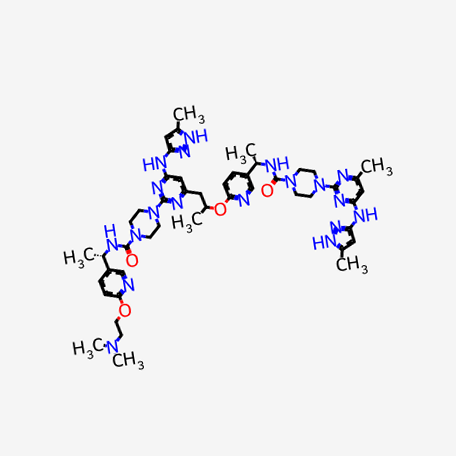 Cc1cc(Nc2cc(C)[nH]n2)nc(N2CCN(C(=O)N[C@H](C)c3ccc(OC(C)Cc4cc(Nc5cc(C)[nH]n5)nc(N5CCN(C(=O)N[C@@H](C)c6ccc(OCCN(C)C)nc6)CC5)n4)nc3)CC2)n1